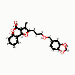 Cc1c(CCCOCc2ccc3c(c2)OCO3)oc2c1c(=O)oc1ccccc12